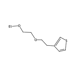 CCOCCOCCc1ccsc1